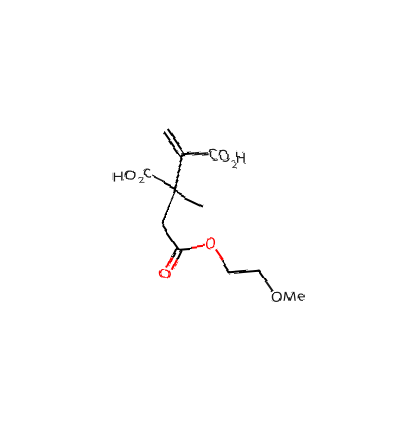 C=C(C(=O)O)C(C)(CC(=O)OCCOC)C(=O)O